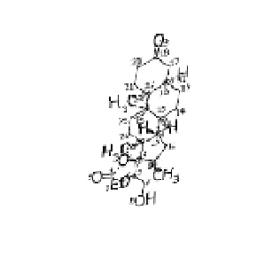 CCC(=O)O[C@]1(C(=O)CO)[C@H](C)C[C@H]2[C@@H]3CC[C@@H]4CC(=O)CC[C@]4(C)C3=CC[C@@]21C